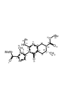 CNC(=O)c1ncc(-n2c(NC(C)C)nc3c(c2=O)C[C@@H](C)N(C(=O)OC(C)(C)C)C3)n1C